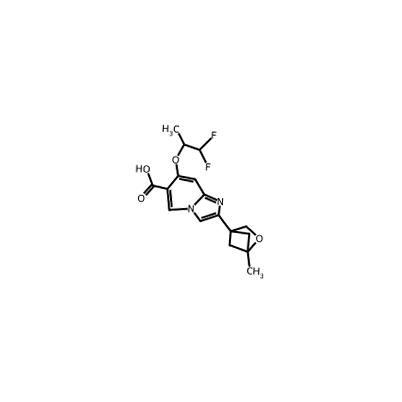 CC(Oc1cc2nc(C34COC(C)(C3)C4)cn2cc1C(=O)O)C(F)F